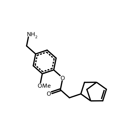 COc1cc(CN)ccc1OC(=O)CC1CC2C=CC1C2